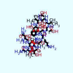 CC(C)[C@H](NC(=O)[C@H](CC(=O)O)NC(=O)[C@H](Cc1ccc(O)cc1)NC(=O)[C@H](CCCCN)NC(=O)[C@H](C)NC(=O)[C@H](CC(N)=O)NC(=O)[C@@H](NC(=O)[C@H](CC(N)=O)NC(=O)[C@@H](NC(=O)[C@@H](N)CC(N)=O)[C@@H](C)O)[C@@H](C)O)C(=O)N[C@@H](CC(=O)O)C(=O)N[C@H](C(=O)N[C@H](C(=O)O)[C@@H](C)O)C(C)C